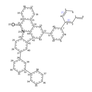 C=C/C=C(\C=C/C)c1cccc(-c2cc3c4ccccc4c(=O)n4c5ccc(-c6cccc(-c7ccccc7)c6)cc5c(c2)c34)c1